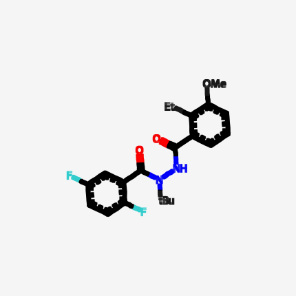 CCc1c(OC)cccc1C(=O)NN(C(=O)c1cc(F)ccc1F)C(C)(C)C